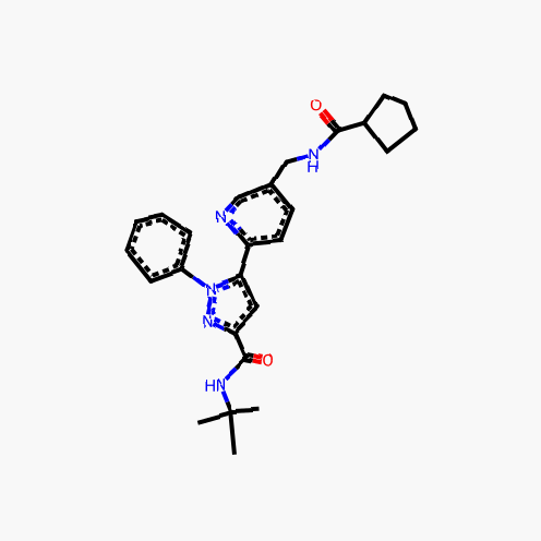 CC(C)(C)NC(=O)c1cc(-c2ccc(CNC(=O)C3CCCC3)cn2)n(-c2ccccc2)n1